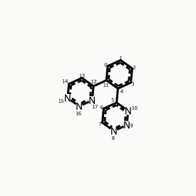 [c]1cccc(-c2ccnnn2)c1-c1ccnnn1